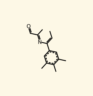 C/C=C(\N=C(/C)C=O)c1cc(C)c(C)c(C)c1